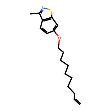 C=CCC[CH]CCCCCOc1ccc2c(C)nsc2c1